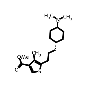 COC(=O)c1csc(CCC[C@H]2CC[C@H](N(C)C)CC2)c1C